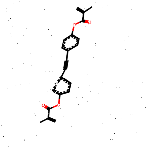 C=C(C)C(=O)Oc1ccc(C#Cc2ccc(OC(=O)C(=C)C)cc2)cc1